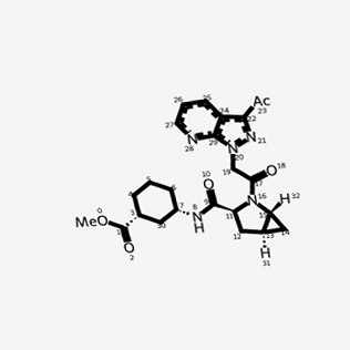 COC(=O)[C@@H]1CCC[C@H](NC(=O)[C@@H]2C[C@@H]3C[C@H]3N2C(=O)Cn2nc(C(C)=O)c3cccnc32)C1